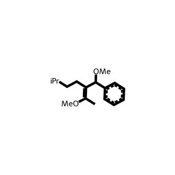 COC(C)=C(CCC(C)C)C(OC)c1ccccc1